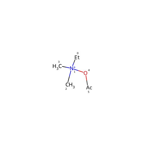 CC[N+](C)(C)OC(C)=O